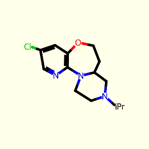 CC(C)N1CCN2c3ncc(Cl)cc3OCCC2C1